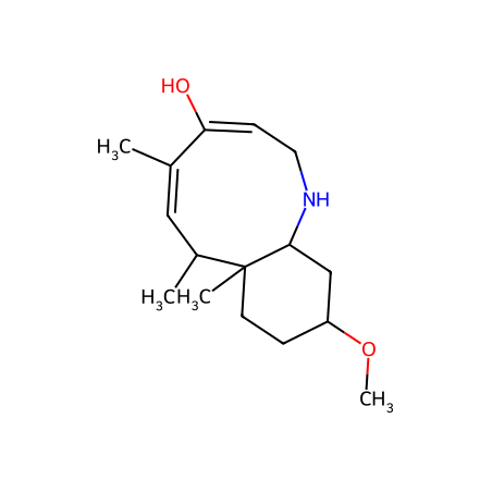 COC1CCC2(C)C(C)/C=C(C)\C(O)=C/CNC2C1